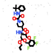 C=CCOC(=O)C[C@H](NC(=O)C1CCN(C(=O)C(=O)Nc2ccccc2C(C)(C)C)CC1)C(=O)COc1c(C)c(F)cc(F)c1F